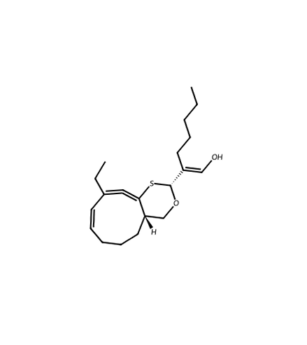 CCCCC/C(=C\O)[C@@H]1OC[C@@H]2CCCC=CC(CC)=C=C2S1